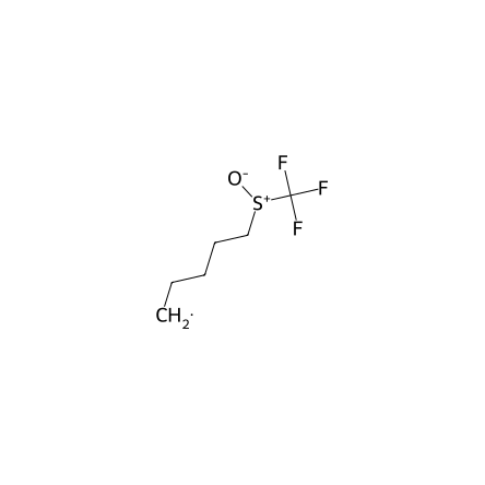 [CH2]CCCC[S+]([O-])C(F)(F)F